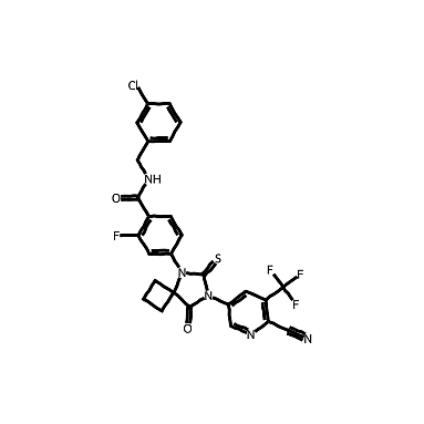 N#Cc1ncc(N2C(=O)C3(CCC3)N(c3ccc(C(=O)NCc4cccc(Cl)c4)c(F)c3)C2=S)cc1C(F)(F)F